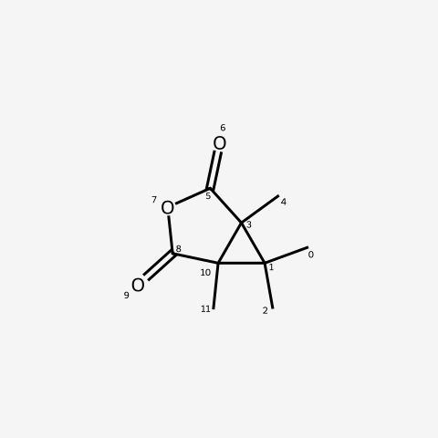 CC1(C)C2(C)C(=O)OC(=O)C12C